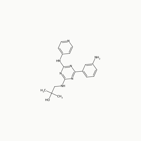 CC(C)(O)CNc1nc(Nc2ccncc2)nc(-c2cccc(N)c2)n1